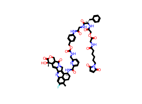 Cc1c(F)cc2nc3c(c4c2c1CC[C@@H]4NC(=O)c1cccc(CNC(=O)OCc2ccc(NC(=O)CNC(=O)[C@H](Cc4ccccc4)NC(=O)COC(=O)CNC(=O)CCCCCN4C(=O)C=CC4=O)cc2)n1)Cn1c-3cc2c(c1=O)COC(=O)[C@@]2(C)O